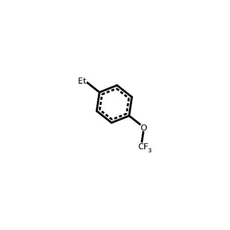 CCc1ccc(OC(F)(F)F)cc1